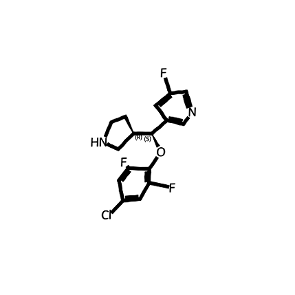 Fc1cncc([C@@H](Oc2c(F)cc(Cl)cc2F)[C@@H]2CCNC2)c1